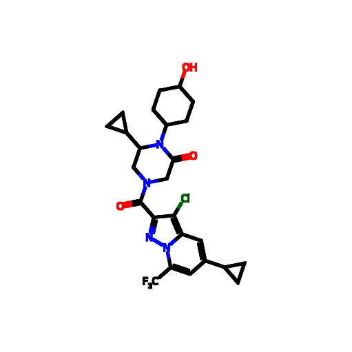 O=C(c1nn2c(C(F)(F)F)cc(C3CC3)cc2c1Cl)N1CC(=O)N(C2CCC(O)CC2)C(C2CC2)C1